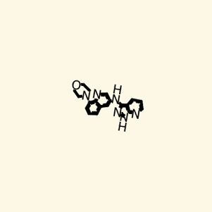 c1cc(N2CCOCC2)c2ncc(Nc3n[nH]c4ncccc34)cc2c1